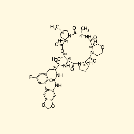 C[C@H]1C[C@H]2C(=O)O[C@@H](C)[C@H](NC(=O)[C@H](Cc3cc(F)cc(F)c3)NC(=O)Nc3ccc4c(c3)OCO4)C(=O)N3CCC[C@H]3C(=O)N3CCOC[C@H]3C(=O)N[C@@H](C)C(=O)N2C1